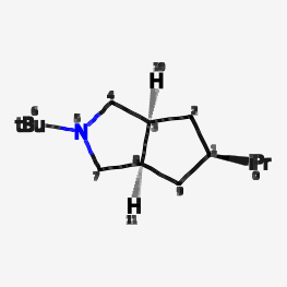 CC(C)[C@@H]1C[C@@H]2CN(C(C)(C)C)C[C@@H]2C1